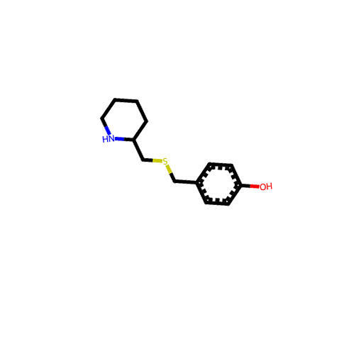 Oc1ccc(CSCC2CCCCN2)cc1